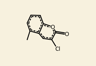 Cc1cccc2oc(=O)c(Cl)cc12